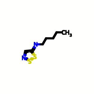 CCCCCN=c1cnss1